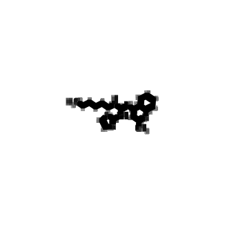 CCCCCCNC(=Nc1cc(C)nc2ccccc12)Nc1nccs1